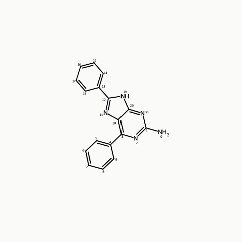 Nc1nc(-c2ccccc2)c2nc(-c3ccccc3)[nH]c2n1